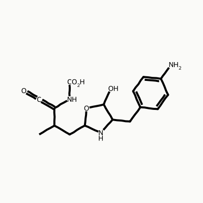 CC(CC1NC(Cc2ccc(N)cc2)C(O)O1)C(=C=O)NC(=O)O